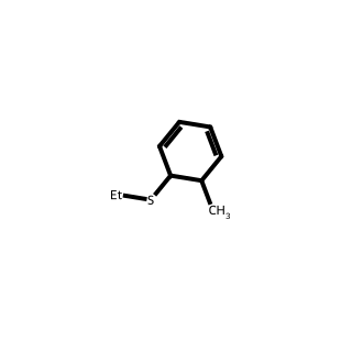 CCS[C]1C=CC=CC1C